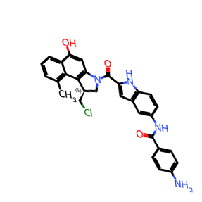 Cc1cccc2c(O)cc3c(c12)[C@H](CCl)CN3C(=O)c1cc2cc(NC(=O)c3ccc(N)cc3)ccc2[nH]1